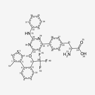 Cc1cscc1-c1ccccc1C(Oc1cc(-c2ccc(CC(N)C(=O)O)cc2)nc(Nc2ccccc2)n1)C(F)(F)F